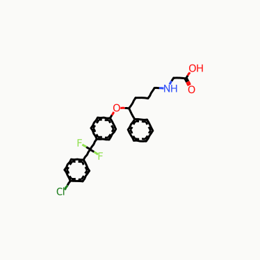 O=C(O)CNCCCC(Oc1ccc(C(F)(F)c2ccc(Cl)cc2)cc1)c1ccccc1